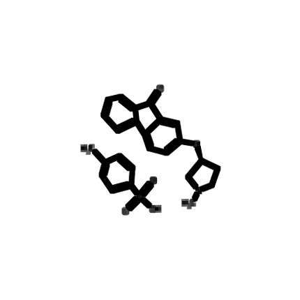 CN1CC[C@H](Oc2ccc3c(c2)C(=O)c2ccccc2-3)C1.Cc1ccc(S(=O)(=O)O)cc1